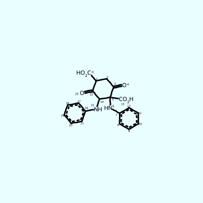 O=C(O)C1CC(=O)C(Nc2ccccc2)(C(=O)O)C(Nc2ccccc2)C1=O